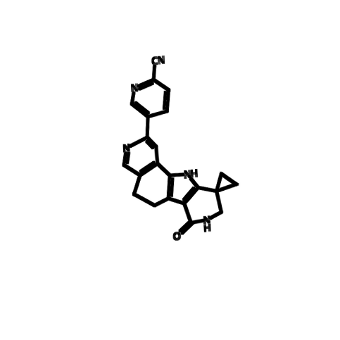 N#Cc1ccc(-c2cc3c(cn2)CCc2c-3[nH]c3c2C(=O)NCC32CC2)cn1